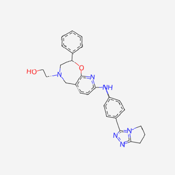 OCCN1Cc2ccc(Nc3ccc(-c4nnc5n4CCC5)cc3)nc2OC(c2ccccc2)C1